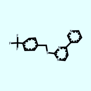 FC(F)(F)c1ccc(CSc2nccc(-c3cccnc3)n2)cc1